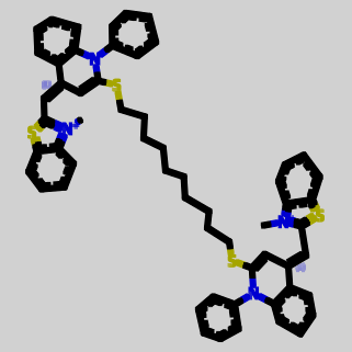 C[n+]1c(/C=C2\C=C(SCCCCCCCCCCSC3=C/C(=C\c4sc5ccccc5[n+]4C)c4ccccc4N3c3ccccc3)N(c3ccccc3)c3ccccc32)sc2ccccc21